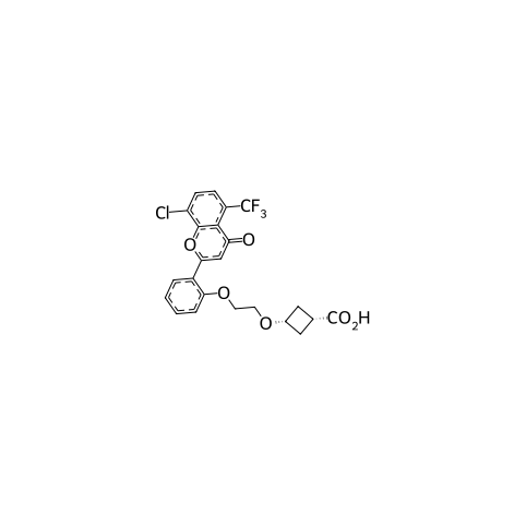 O=c1cc(-c2ccccc2OCCO[C@H]2C[C@@H](C(=O)O)C2)oc2c(Cl)ccc(C(F)(F)F)c12